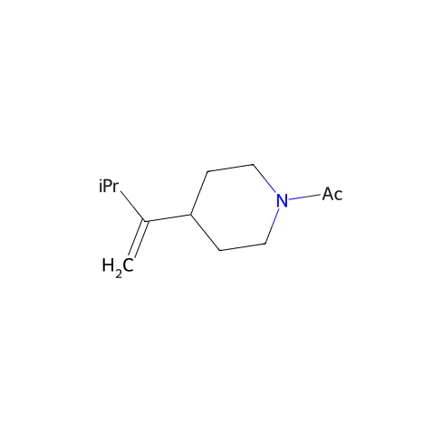 C=C(C(C)C)C1CCN(C(C)=O)CC1